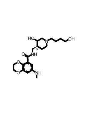 CNc1cc2c(c(C(=O)NC[C@@H]3CCN(CCCCO)CC3O)c1)OCCO2